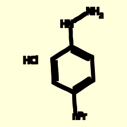 CCCc1ccc(NN)cc1.Cl